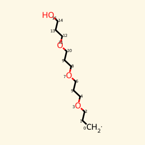 [CH2]CCOCCCOCCCOCCCO